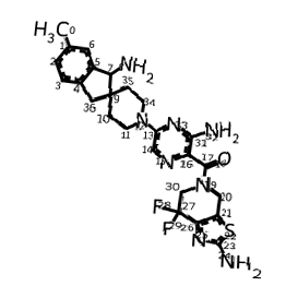 Cc1ccc2c(c1)C(N)C1(CCN(c3cnc(C(=O)N4Cc5sc(N)nc5C(F)(F)C4)c(N)n3)CC1)C2